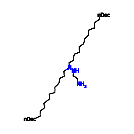 CCCCCCCCCCCCCCCCCCCCCCN(CCCCCCCCCCCCCCCCCCCCCC)NCCN